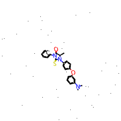 CC1C(=O)N(c2ccccc2)C(=S)N1c1ccc(Oc2cccc(N(C)C)c2)cc1